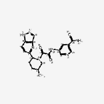 C[C@H]1CCC(c2ccc3[nH]ncc3n2)N(C(=O)C(=O)Nc2cncc(C(N)=O)c2)C1